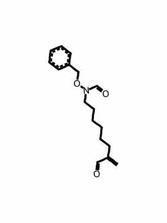 C=C(C=O)CCCCCCN(C=O)OCc1ccccc1